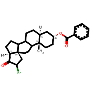 C[C@]12CC[C@@H](OC(=O)c3ccccc3)C[C@@H]1CCC1C3CC[C@@H]4C(=O)C(Br)C[C@]34CCC12